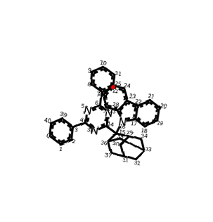 c1ccc(-c2nc(-c3ccccc3)nc(C3(n4c5ccccc5c5ccccc54)C4CC5CC(C4)CC3C5)n2)cc1